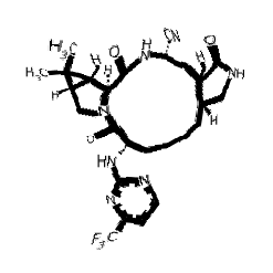 CC1(C)[C@@H]2[C@H]3C(=O)N[C@H](C#N)C[C@@H]4C(=O)NC[C@@H]4CCCC[C@H](Nc4nccc(C(F)(F)F)n4)C(=O)N3C[C@@H]21